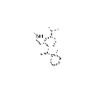 C=C(c1ccccc1C)c1ccc(C(C)C)cc1/C=C\NC